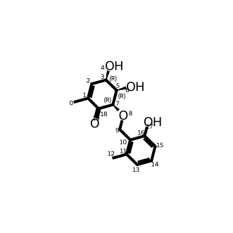 CC1=C[C@@H](O)[C@@H](O)[C@@H](OCc2c(C)cccc2O)C1=O